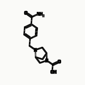 NC(=O)c1ccc(CN2CC3CC2CN3C(=O)O)cc1